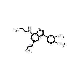 C/C=C/c1cc(NCCC(F)(F)F)c2ncc(-c3ccc(C(=O)O)c(C)c3)n2c1